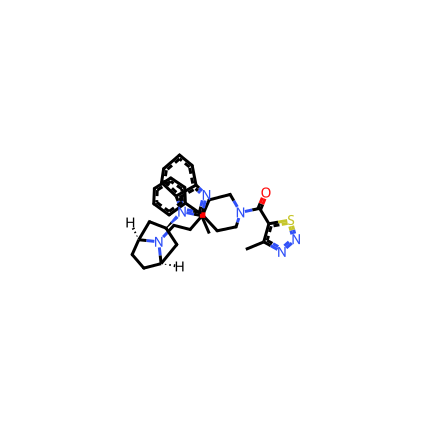 Cc1nnsc1C(=O)N1CCC(CCN2[C@@H]3CC[C@H]2C[C@@H](n2c(C)nc4ccccc42)C3)(c2ccccc2)CC1